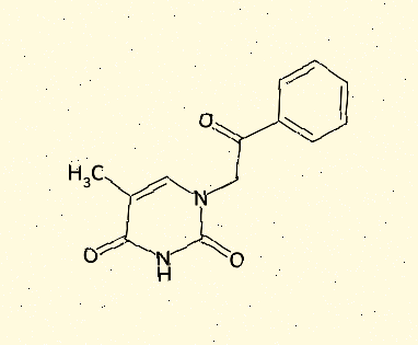 Cc1cn(CC(=O)c2ccccc2)c(=O)[nH]c1=O